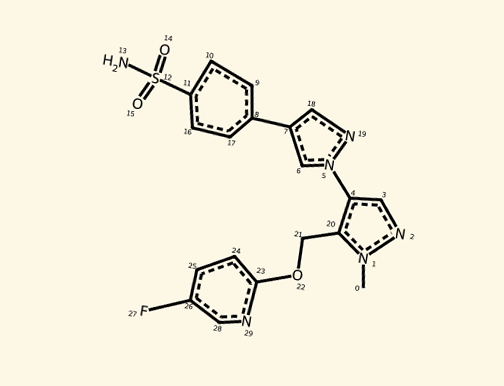 Cn1ncc(-n2cc(-c3ccc(S(N)(=O)=O)cc3)cn2)c1COc1ccc(F)cn1